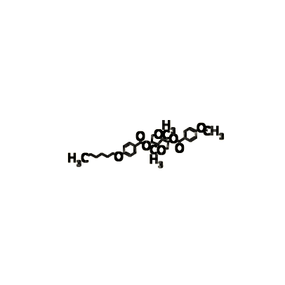 CCCCCCOc1ccc(C(=O)OC2CO[C@@]3(C)C(OC(=O)c4ccc(OC)cc4)CO[C@@]23C)cc1